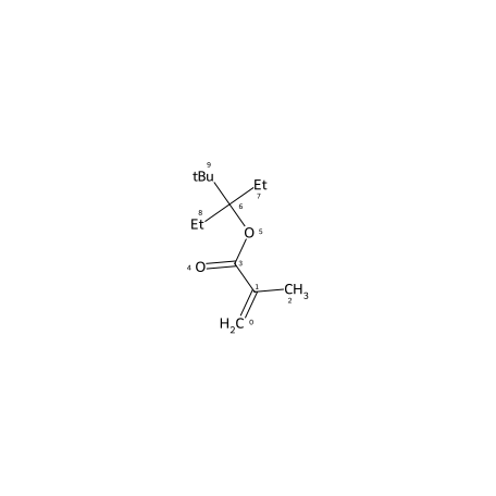 C=C(C)C(=O)OC(CC)(CC)C(C)(C)C